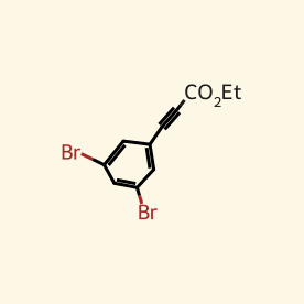 CCOC(=O)C#Cc1cc(Br)cc(Br)c1